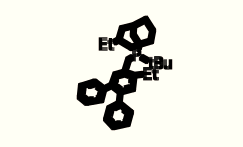 CCc1cc(-c2ccccc2)c(-c2ccccc2)cc1CP(C(C)(C)C)C12CCCC(CC(CC)C1)C2